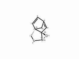 C1=C[C@]23CS[N@@]4O[C@@]42C=C1C3